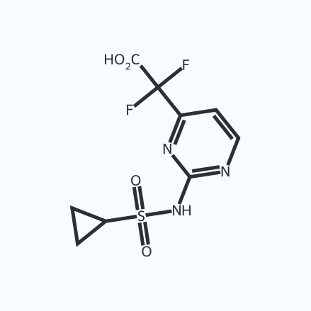 O=C(O)C(F)(F)c1ccnc(NS(=O)(=O)C2CC2)n1